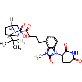 Cn1c(=O)n(C2CCC(=O)NC2=O)c2cccc(CCCC(=O)N3C[C@@H]4CC[C@@](C(C)(C)C)(C3)N4C(=O)O)c21